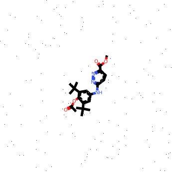 COC(=O)c1ccc(Nc2cc(C(C)(C)C)c(OC(C)=O)c(C(C)(C)C)c2)nn1